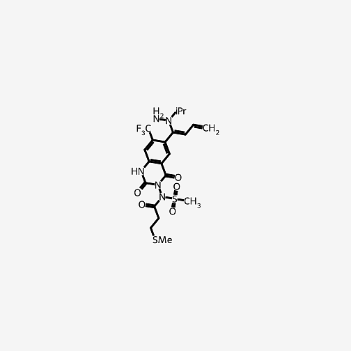 C=C/C=C(/c1cc2c(=O)n(N(C(=O)CCSC)S(C)(=O)=O)c(=O)[nH]c2cc1C(F)(F)F)N(N)C(C)C